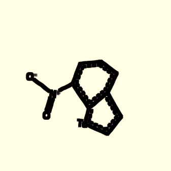 O=[N+]([O-])c1cccc2cc[te]c12